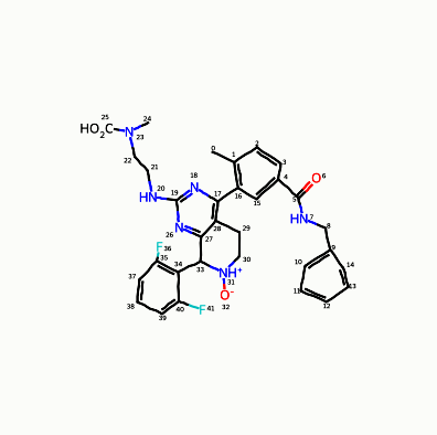 Cc1ccc(C(=O)NCc2ccccc2)cc1-c1nc(NCCN(C)C(=O)O)nc2c1CC[NH+]([O-])C2c1c(F)cccc1F